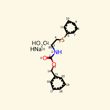 O=C(N[C@@H](CSc1ccccc1)C(=O)O)OCc1ccccc1.[NaH]